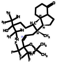 [2H]C([2H])([2H])C(O)(CCC[C@](C)(C/C=C\C(O[Si](C)(C)C)(C(F)(F)F)C(F)(F)F)[C@H]1CCC2C(=O)CCC[C@@]21C)C([2H])([2H])[2H]